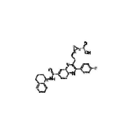 O=C(N[C@@H]1CCCc2ccccc21)c1ccc2nc(-c3ccc(F)cc3)c(CC[C@H]3C[C@@H]3C(=O)O)nc2c1